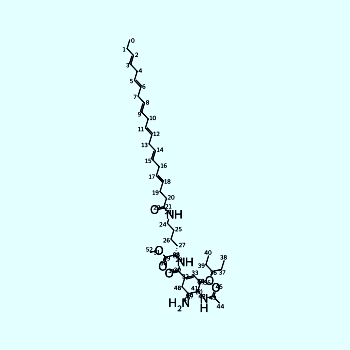 CCC=CCC=CCC=CCC=CCC=CCC=CCCC(=O)NCCCC[C@H](NC(=O)C1=C[C@@H](OC(CC)CC)[C@H](NC(C)=O)[C@@H](N)C1)C(=O)OC